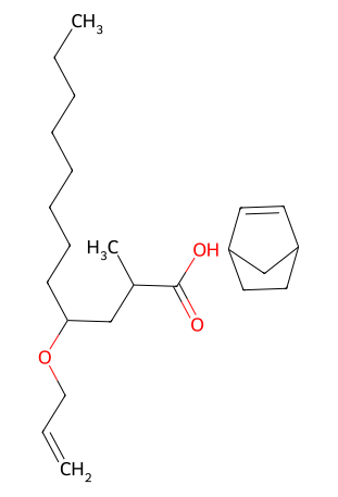 C1=CC2CCC1C2.C=CCOC(CCCCCCCC)CC(C)C(=O)O